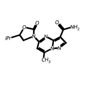 Cc1cc(N2CC(C(C)C)OC2=O)nc2c(C(N)=O)cnn12